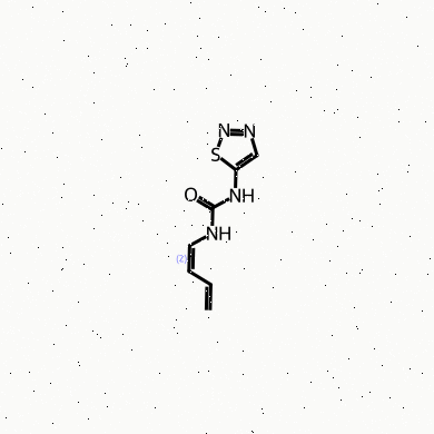 C=C/C=C\NC(=O)Nc1cnns1